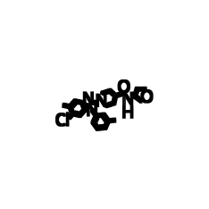 Cc1cccc(-n2c(N3CCC(C(=O)NC4CCOC4)CC3)nc3cc(C)c(Cl)cc32)c1